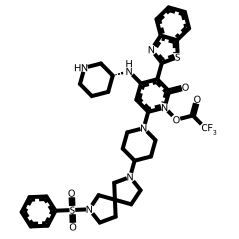 O=C(On1c(N2CCC(N3CCC4(CCN(S(=O)(=O)c5ccccc5)C4)C3)CC2)cc(N[C@@H]2CCCNC2)c(-c2nc3ccccc3s2)c1=O)C(F)(F)F